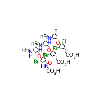 CCCNc1cc(F)cc(COc2c(Br)cc(C(=O)NCC(=O)O)cc2Br)c1.CCCNc1cc(F)cc(COc2c(Br)cc(CCC(=O)O)cc2Br)c1.CCCNc1cc(F)cc(COc2c(Cl)cc(CCC(=O)O)cc2Cl)c1